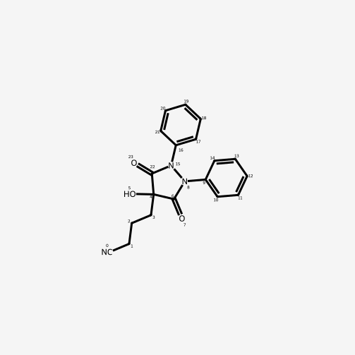 N#CCCCC1(O)C(=O)N(c2ccccc2)N(c2ccccc2)C1=O